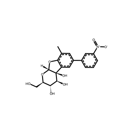 Cc1cc(-c2cccc([N+](=O)[O-])c2)cc2c1O[C@H]1O[C@H](CO)[C@@H](O)[C@H](O)[C@@]21O